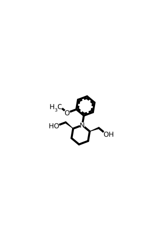 COc1ccccc1N1[C@H](CO)CCC[C@@H]1CO